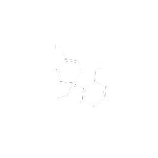 CC1=CCC(CO)(c2ccccc2C)C=C1